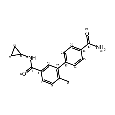 Cc1ccc(C(=O)NC2CC2)cc1-c1ccc(C(N)=O)cc1